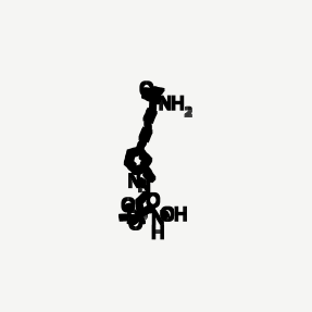 C[C@@](CCn1cc2cc(C#CC#CC3(N)COC3)ccc2n1)(C(=O)NO)S(C)(=O)=O